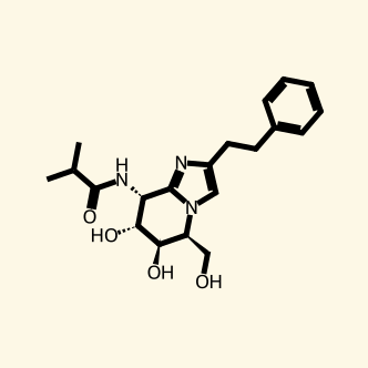 CC(C)C(=O)N[C@@H]1c2nc(CCc3ccccc3)cn2[C@@H](CO)[C@@H](O)[C@@H]1O